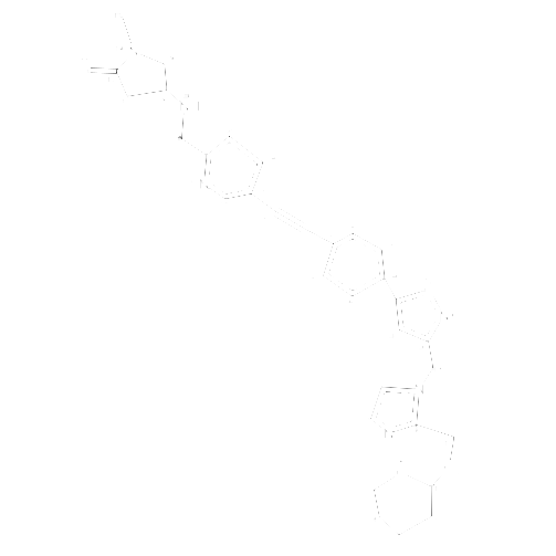 C[C@H](OC1CCCCO1)c1nccn1Cc1cc(-c2ccc(C#Cc3ccc(CNC4CC(=O)N(C)C4)nc3)cc2)on1